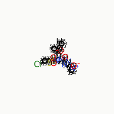 CC(C)(C)C(CC1CN(S(=O)(=O)c2cc3ccc(Cl)cc3s2)CCN1C(=O)c1ncc(-c2cccc[n+]2[O-])cn1)O[SiH](c1ccccc1)c1ccccc1